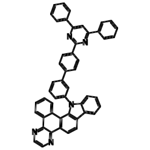 c1ccc(-c2cc(-c3ccccc3)nc(-c3ccc(-c4cccc(-n5c6ccccc6c6ccc7c8nccnc8c8ccccc8c7c65)c4)cc3)n2)cc1